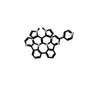 Cn1cccc1C(c1cccn1C)=c1n2c3nccnc3c3cccc(c4cccc5c6nc(-c7ccncc7)cnc6n1c45)c32